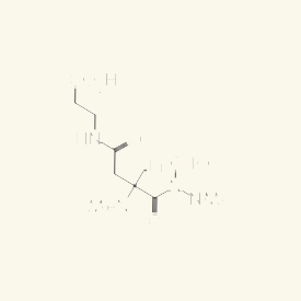 CNN(C=O)C(=O)C(CC(=O)NCCC(=O)O)(NC)C(C)C